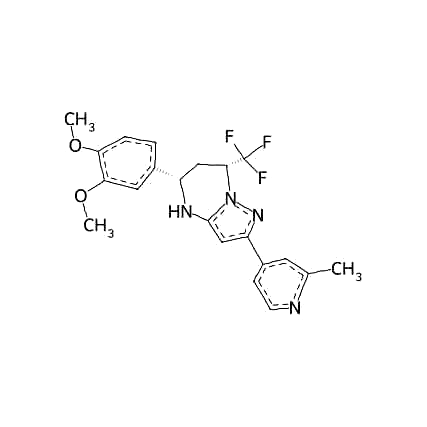 COc1ccc([C@@H]2C[C@H](C(F)(F)F)n3nc(-c4ccnc(C)c4)cc3N2)cc1OC